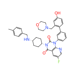 Cc1ccc(CN[C@H]2CC[C@@H](n3c(=O)c4cc(F)cnc4n(-c4cccc(-c5ccc(O)cc5CN5CCOCC5)c4)c3=O)CC2)cc1